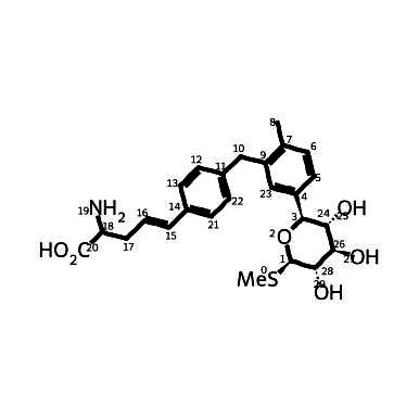 CS[C@H]1O[C@@H](c2ccc(C)c(Cc3ccc(/C=C/CC(N)C(=O)O)cc3)c2)[C@H](O)[C@@H](O)[C@@H]1O